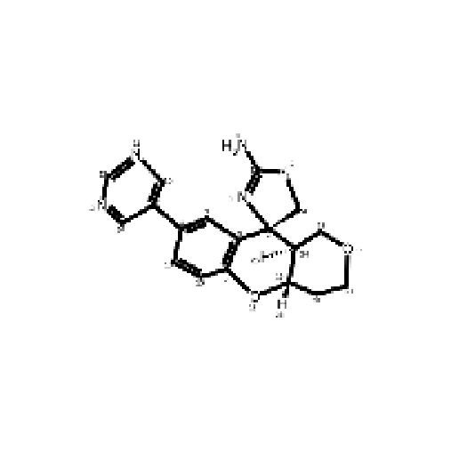 NC1=N[C@@]2(CS1)c1cc(-c3cncnc3)ccc1O[C@H]1CCOC[C@@H]12